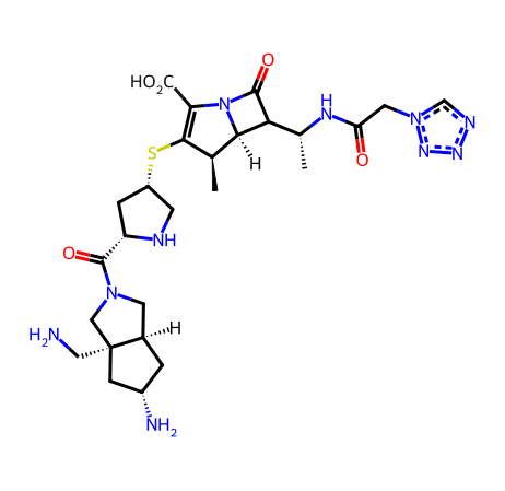 C[C@@H](NC(=O)Cn1cnnn1)C1C(=O)N2C(C(=O)O)=C(S[C@@H]3CN[C@H](C(=O)N4C[C@H]5C[C@H](N)C[C@@]5(CN)C4)C3)[C@H](C)[C@H]12